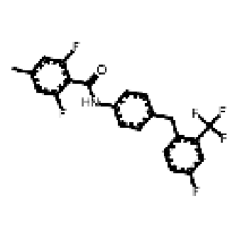 Cc1cc(F)c(C(=O)Nc2ccc(Cc3ccc(F)cc3C(F)(F)F)cc2)c(F)c1